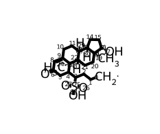 [CH2]CCC(C1CC(=O)C=C2CC[C@H]3[C@@H]4CC[C@H](O)[C@@]4(C)CC[C@@H]3[C@]21C)S(=O)(=O)O